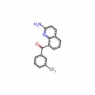 Nc1ccc2cccc(C(=O)c3cccc(C(F)(F)F)c3)c2n1